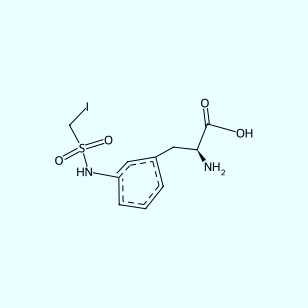 N[C@@H](Cc1cccc(NS(=O)(=O)CI)c1)C(=O)O